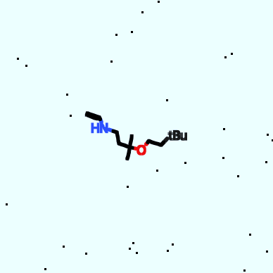 C=CNCCC(C)(C)OCCC(C)(C)C